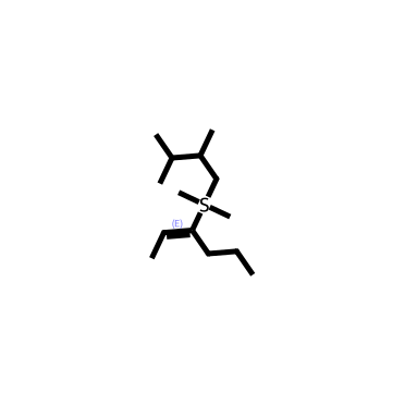 C/C=C(\CCC)S(C)(C)CC(C)C(C)C